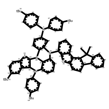 CC(C)(C)c1ccc(N(c2ccc(C(C)(C)C)cc2)c2ccc3c(c2)N(c2cccc4c2oc2ccc5c(c24)C(C)(C)c2ccccc2-5)c2cccc4c2B3c2sc3ccc(C(C)(C)C)cc3c2N4c2ccc(C(C)(C)C)cc2)cc1